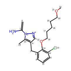 C=C(N)n1ncc(Cc2cccc(Cl)c2OCCCCCOC)c1C